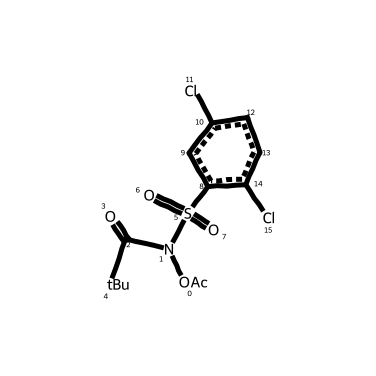 CC(=O)ON(C(=O)C(C)(C)C)S(=O)(=O)c1cc(Cl)ccc1Cl